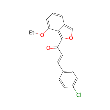 CCOc1cccc2coc(C(=O)C=Cc3ccc(Cl)cc3)c12